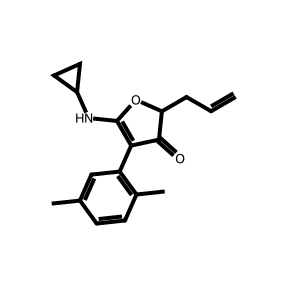 C=CCC1OC(NC2CC2)=C(c2cc(C)ccc2C)C1=O